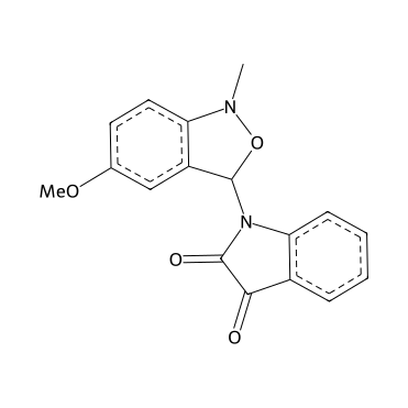 COc1ccc2c(c1)C(N1C(=O)C(=O)c3ccccc31)ON2C